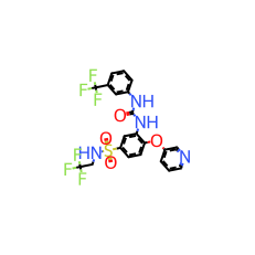 O=C(Nc1cccc(C(F)(F)F)c1)Nc1cc(S(=O)(=O)NCC(F)(F)F)ccc1Oc1cccnc1